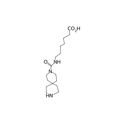 O=C(O)CCCCCCNC(=O)N1CCC2(CCNCC2)CC1